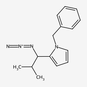 CC(C)C(N=[N+]=[N-])c1cccn1Cc1ccccc1